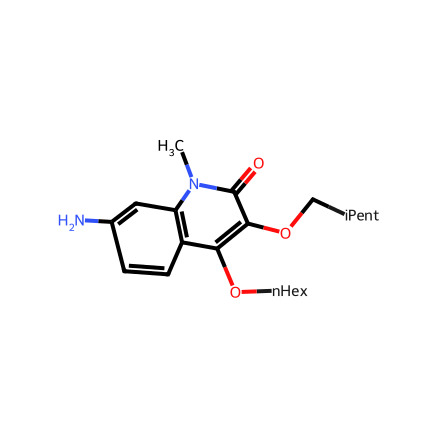 CCCCCCOc1c(OCC(C)CCC)c(=O)n(C)c2cc(N)ccc12